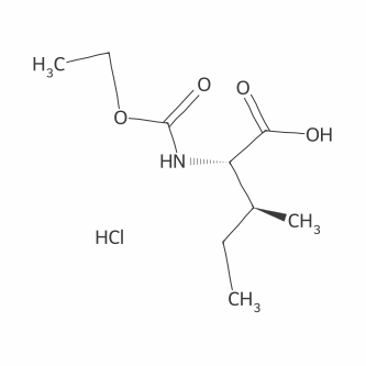 CCOC(=O)N[C@H](C(=O)O)[C@@H](C)CC.Cl